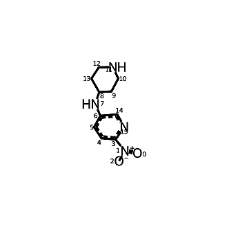 O=[N+]([O-])c1ccc(NC2CCNCC2)cn1